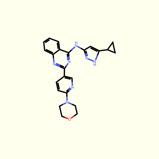 c1ccc2c(Nc3cc(C4CC4)[nH]n3)nc(-c3ccc(N4CCOCC4)nc3)nc2c1